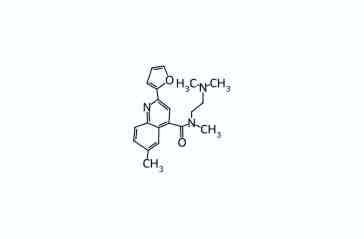 Cc1ccc2nc(-c3ccco3)cc(C(=O)N(C)CCN(C)C)c2c1